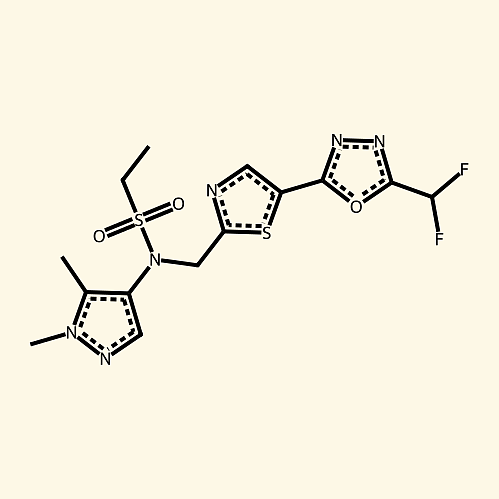 CCS(=O)(=O)N(Cc1ncc(-c2nnc(C(F)F)o2)s1)c1cnn(C)c1C